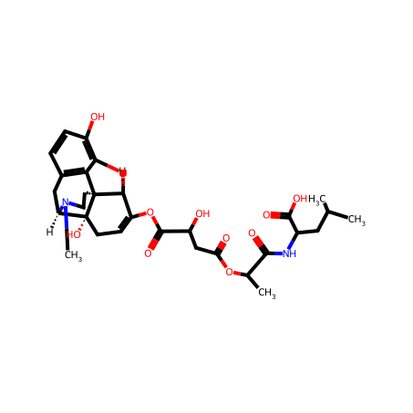 CC(C)CC(NC(=O)C(C)OC(=O)CC(O)C(=O)OC1=CC[C@@]2(O)[C@H]3Cc4ccc(O)c5c4[C@@]2(CCN3C)[C@H]1O5)C(=O)O